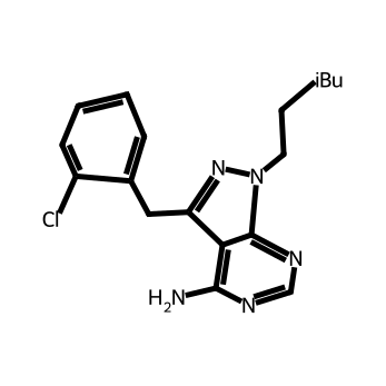 CCC(C)CCn1nc(Cc2ccccc2Cl)c2c(N)ncnc21